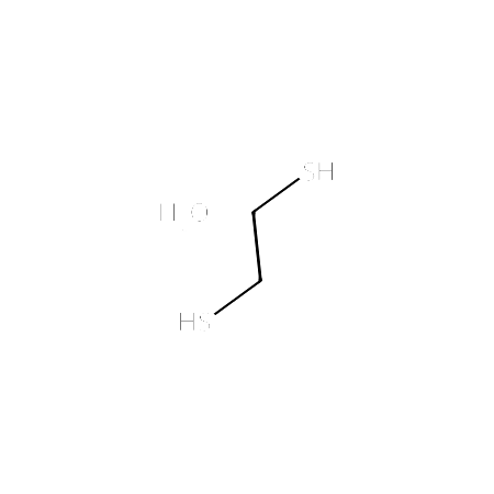 O.SCCS